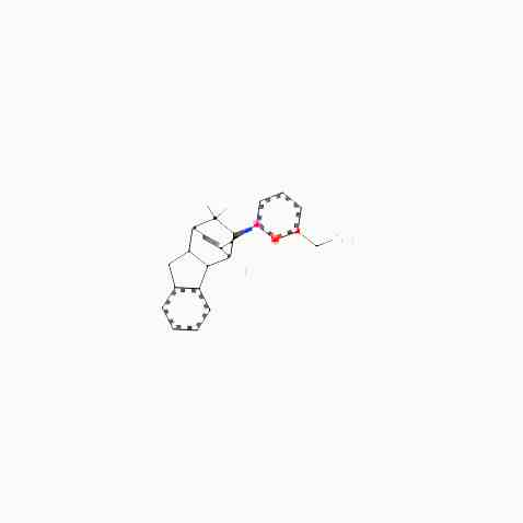 CC1(O)/C(=N/OCCN)[C@@H]2C(c3ccccc3)=CC1C1Cc3ccccc3C12